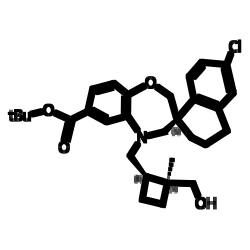 CC(C)(C)OC(=O)c1ccc2c(c1)N(C[C@@H]1CC[C@]1(C)CO)C[C@@]1(CCCc3cc(Cl)ccc31)CO2